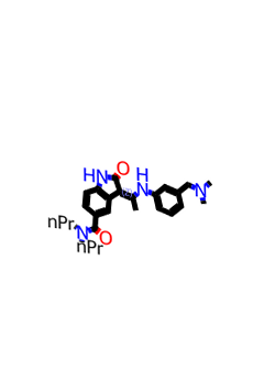 CCCN(CCC)C(=O)c1ccc2c(c1)/C(=C(\C)Nc1cccc(CN(C)C)c1)C(=O)N2